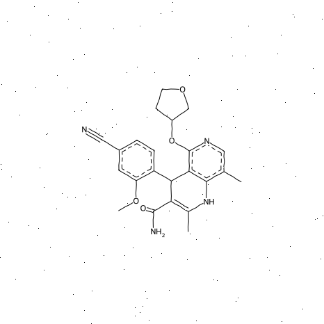 COc1cc(C#N)ccc1C1C(C(N)=O)=C(C)Nc2c(C)cnc(OC3CCOC3)c21